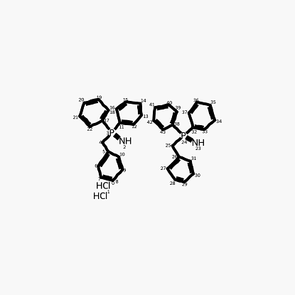 Cl.Cl.N=P(Cc1ccccc1)(c1ccccc1)c1ccccc1.N=P(Cc1ccccc1)(c1ccccc1)c1ccccc1